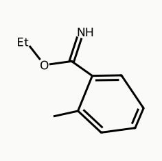 CCOC(=N)c1ccccc1C